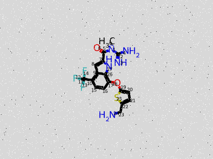 CN(C(=N)N)C(=O)c1cc2c(C(F)(F)F)ccc(Oc3ccc(CN)s3)c2[nH]1